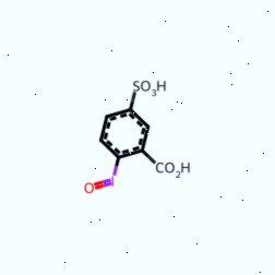 O=Ic1ccc(S(=O)(=O)O)cc1C(=O)O